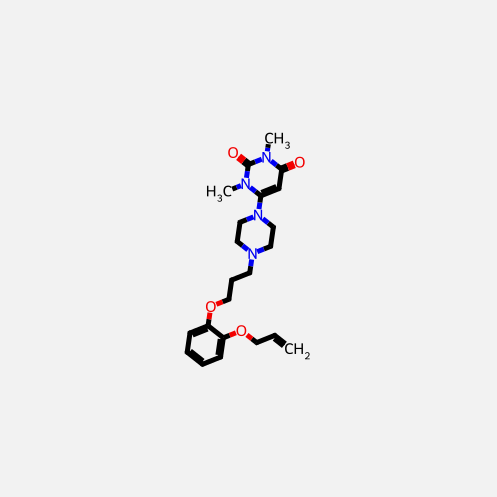 C=CCOc1ccccc1OCCCN1CCN(c2cc(=O)n(C)c(=O)n2C)CC1